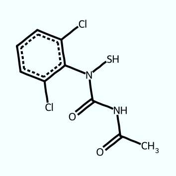 CC(=O)NC(=O)N(S)c1c(Cl)cccc1Cl